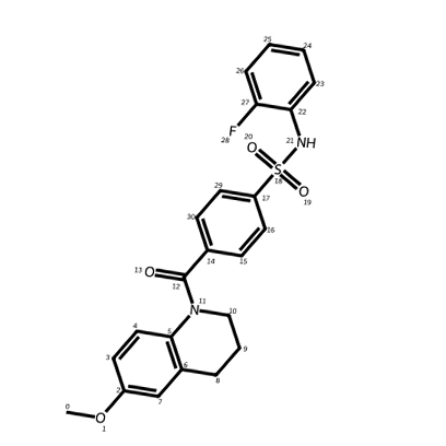 COc1ccc2c(c1)CCCN2C(=O)c1ccc(S(=O)(=O)Nc2ccccc2F)cc1